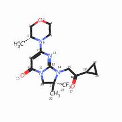 C[C@@H]1COCCN1c1cc(=O)n2c(n1)N(CC(=O)C1CC1)[C@](C)(C(F)(F)F)C2